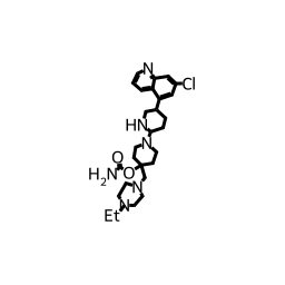 CCN1CCN(CC2(OC(N)=O)CCN(C3CCC(c4cc(Cl)cc5ncccc45)CN3)CC2)CC1